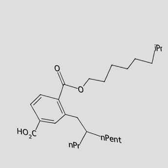 CCCCCC(CCC)Cc1cc(C(=O)O)ccc1C(=O)OCCCCCCC(C)C